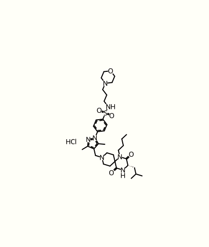 CCCCN1C(=O)[C@H](CC(C)C)NC(=O)C12CCN(Cc1c(C)nn(-c3ccc(S(=O)(=O)NCCCN4CCOCC4)cc3)c1C)CC2.Cl